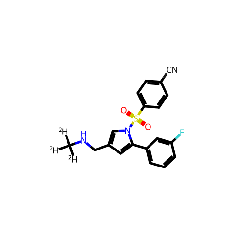 [2H]C([2H])([2H])NCc1cc(-c2cccc(F)c2)n(S(=O)(=O)c2ccc(C#N)cc2)c1